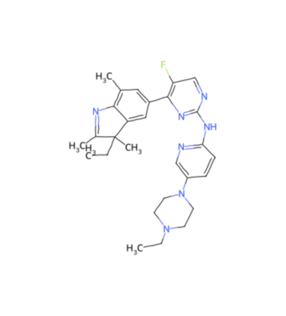 CCN1CCN(c2ccc(Nc3ncc(F)c(-c4cc(C)c5c(c4)C(C)(CC)C(C)=N5)n3)nc2)CC1